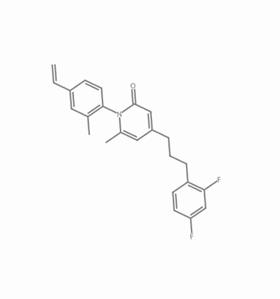 C=Cc1ccc(-n2c(C)cc(CCCc3ccc(F)cc3F)cc2=O)c(C)c1